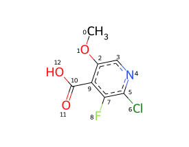 COc1cnc(Cl)c(F)c1C(=O)O